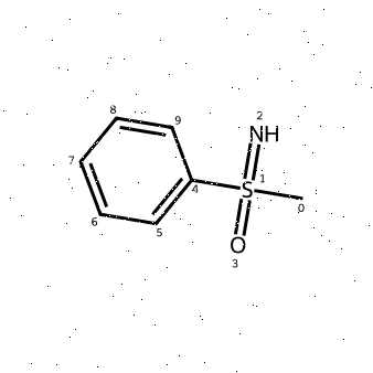 CS(=N)(=O)c1cc[c]cc1